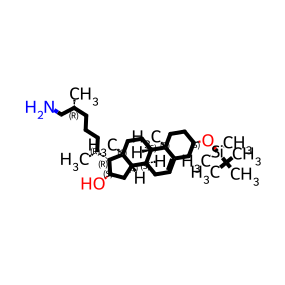 C[C@@H](CN)CCC[C@@H](C)[C@H]1[C@@H](O)C[C@H]2[C@@H]3CC=C4C[C@@H](O[Si](C)(C)C(C)(C)C)CC[C@]4(C)[C@H]3CC[C@]12C